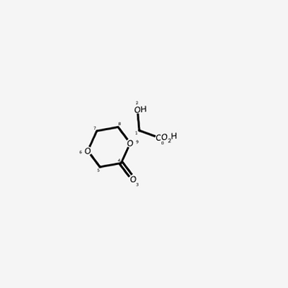 O=C(O)CO.O=C1COCCO1